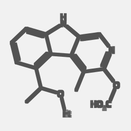 CCOC(C)c1cccc2[nH]c3cnc(OC(=O)O)c(C)c3c12